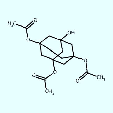 CC(=O)OC12CC3(O)CC(OC(C)=O)(C1)CC(OC(C)=O)(C3)C2